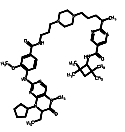 CCC1C(=O)N(C)c2cnc(Nc3ccc(C(=O)NCCCN4CCN(CCCN(C)c5ncc(C(=O)NC6C(C)(C)CC6(C)C)cn5)CC4)cc3OC)nc2N1C1CCCC1